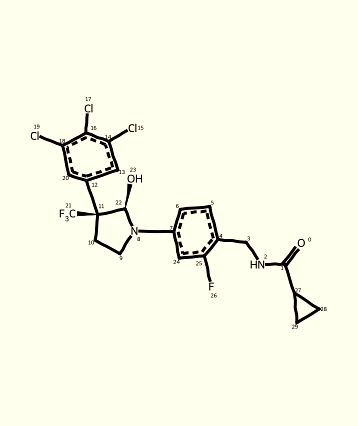 O=C(NCc1ccc(N2CC[C@@](c3cc(Cl)c(Cl)c(Cl)c3)(C(F)(F)F)[C@H]2O)cc1F)C1CC1